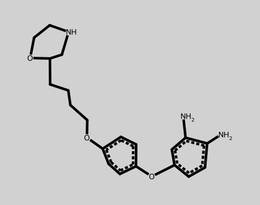 Nc1ccc(Oc2ccc(OCCCCC3CNCCO3)cc2)cc1N